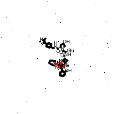 Cc1ncsc1-c1ccc(CNC(=O)[C@@H]2C[C@@H](O)CN2C(=O)[C@@H](NC(=O)[C@H]2C[C@@H](N(C)Cc3cnc(N4C5CCC4CN(c4cc(-c6ccccc6O)nnc4N)C5)nc3)C2)C(C)(C)C)cc1